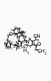 C=CC(=O)N1CC(C)N(c2nc(=O)n3c4nc(c(F)cc24)-c2cnnn2CCOc2ccnc(C(C)C)c2-3)CC1CC#N